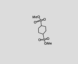 COS(=O)(=O)C1CCC(S(=O)(=O)OC)CC1